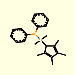 CC1=C(C)C([Si](C)(C)P(c2ccccc2)c2ccccc2)C(C)=C1C